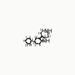 c1ccc(-c2ccc3[nH]c4c(c3c2)CCNCC4)cc1